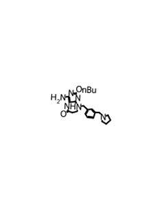 CCCCOc1nc(N)c2c(n1)N(Cc1cccc(CN3CCCC3)c1)CCC(=O)N2